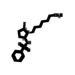 O=C(O)CCCCCC[C@H]1[C@H](F)CC[C@@H]1NS(=O)(=O)c1ccccc1